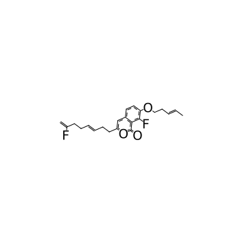 C=C(F)CC/C=C/CCc1cc2ccc(OCC/C=C/C)c(F)c2c(=O)o1